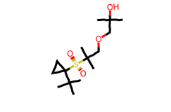 CC(C)(O)COCC(C)(C)S(=O)(=O)C1(C(C)(C)C)CC1